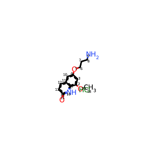 COc1cc(OCCCN)cc2ccc(=O)[nH]c12.Cl